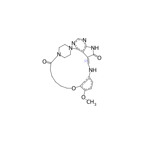 COc1ccc2cc1OCCCCCC(=O)N1CCN(CC1)c1ncnc3c1/C(=C/N2)C(=O)N3